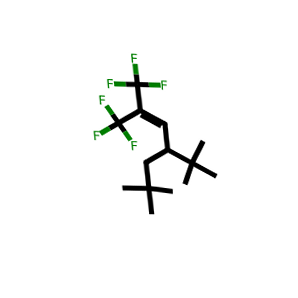 CC(C)(C)CC(C=C(C(F)(F)F)C(F)(F)F)C(C)(C)C